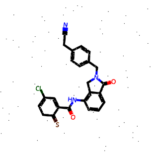 N#CCc1ccc(CN2Cc3c(NC(=O)C4=CC(Cl)=CCC4=S)cccc3C2=O)cc1